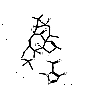 CC1=CC23C(=O)[C@@H](C=C4COC(C)(C)O[C@H]4[C@]2(O)[C@H]1OC(=O)c1c(Br)cnn1C)[C@H]1[C@@H](CC3C)C1(C)C